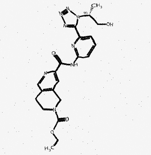 CCOC(=O)N1CCc2cnc(C(=O)Nc3cccc(-c4nnnn4[C@H](C)CO)n3)cc2C1